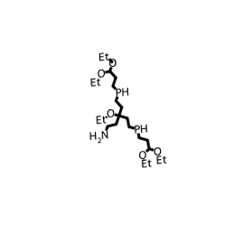 CCOC(CCPCCC(CCN)(CCPCCC(OCC)OCC)OCC)OCC